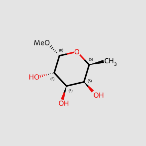 CO[C@@H]1O[C@@H](C)[C@@H](O)[C@@H](O)[C@@H]1O